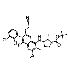 CSc1nc2c(F)c(-c3cccc(Cl)c3Cl)c(CCC#N)cc2c(NC2CCN(C(=O)OC(C)(C)C)[C@@H]2C)c1C